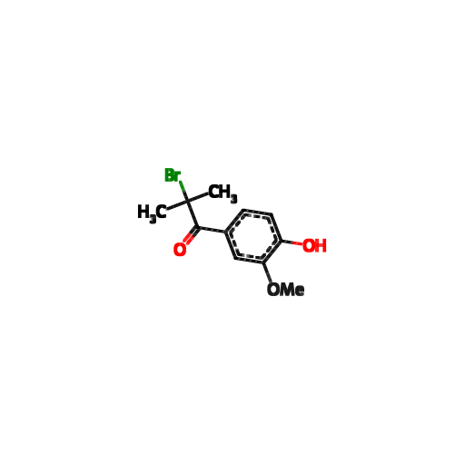 COc1cc(C(=O)C(C)(C)Br)ccc1O